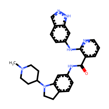 CN1CCC(N2CCc3ccc(NC(=O)c4cccnc4Nc4ccc5cn[nH]c5c4)cc32)CC1